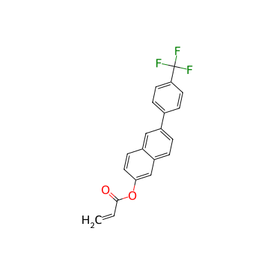 C=CC(=O)Oc1ccc2cc(-c3ccc(C(F)(F)F)cc3)ccc2c1